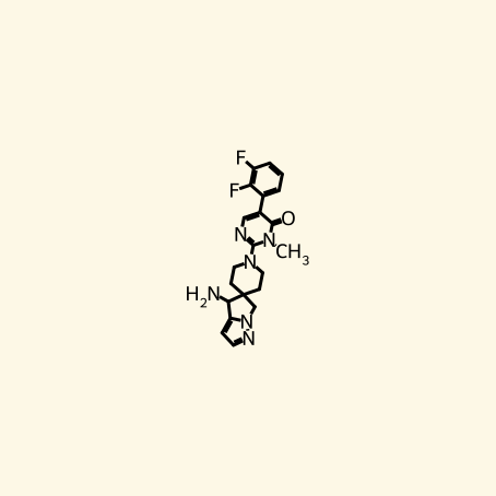 Cn1c(N2CCC3(CC2)Cn2nccc2C3N)ncc(-c2cccc(F)c2F)c1=O